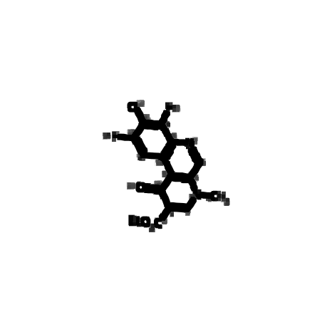 CCOC(=O)c1cn(C)c2cnc3c(F)c(Cl)c(F)cc3c2c1=O